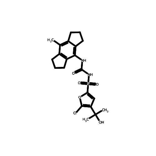 Cc1c2c(c(NC(=O)NS(=O)(=O)c3cc(C(C)(C)O)c(Cl)o3)c3c1CCC3)CCC2